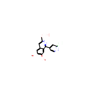 COc1cc2cc(CO)nc(-c3ccnc(Cl)c3)c2cc1OC